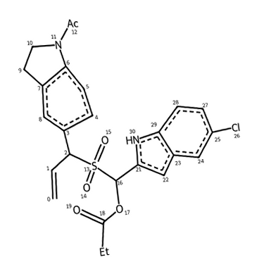 C=CC(c1ccc2c(c1)CCN2C(C)=O)S(=O)(=O)C(OC(=O)CC)c1cc2cc(Cl)ccc2[nH]1